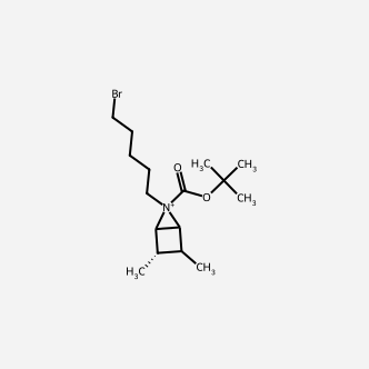 CC1C2C([C@H]1C)[N+]2(CCCCCBr)C(=O)OC(C)(C)C